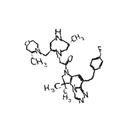 C[C@@H]1CN(CC(=O)N2CC(C)(C)c3c2cc(Cc2ccc(F)cc2)c2nncn32)[C@@H](CN2CCOC[C@H]2C)CN1